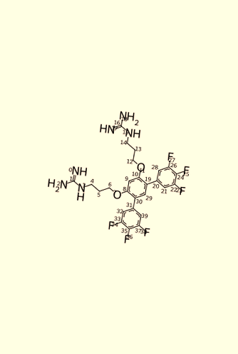 N=C(N)NCCCOc1cc(OCCCNC(=N)N)c(-c2cc(F)c(F)c(F)c2)cc1-c1cc(F)c(F)c(F)c1